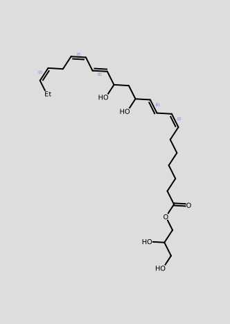 CC/C=C\C/C=C\C=C\C(O)CC(O)/C=C/C=C\CCCCCC(=O)OCC(O)CO